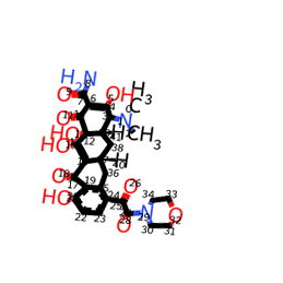 CN(C)C1C(O)=C(C(N)=O)C(=O)C2(O)C(O)=C3C(=O)c4c(O)ccc(C(=O)C(=O)N5CCOCC5)c4C[C@H]3C[C@@H]12